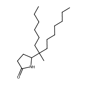 CCCCCCCC(C)(CCCCCC)C1CCC(=O)N1